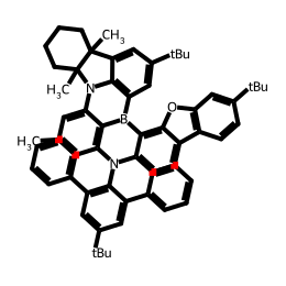 Cc1cc2c3c(c1)N1c4c(cc(C(C)(C)C)cc4C4(C)CCCCC14C)B3c1c(ccc3c1oc1cc(C(C)(C)C)ccc13)N2c1c(-c2ccccc2)cc(C(C)(C)C)cc1-c1ccccc1